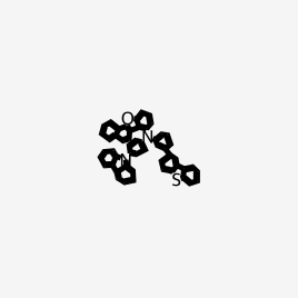 c1cc(-c2ccc3sc4ccccc4c3c2)cc(N(c2ccc(-n3c4ccccc4c4ccccc43)cc2)c2cccc3oc4c5ccccc5ccc4c23)c1